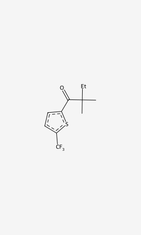 CCC(C)(C)C(=O)c1ccc(C(F)(F)F)s1